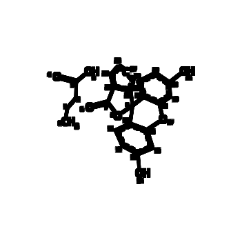 CCCC(=O)O.O=C1OC2(c3ccc(O)cc3Oc3cc(O)ccc32)c2ccccc21